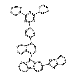 c1ccc(-c2nc(-c3ccccc3)nc(-c3ccc(-c4ccc(-n5c6ccccc6c6ccc(-c7nc8ccccc8o7)cc65)c5ccccc45)cc3)n2)cc1